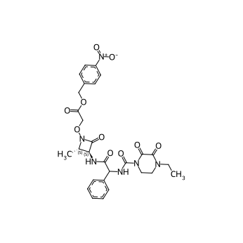 CCN1CCN(C(=O)NC(C(=O)N[C@@H]2C(=O)N(OCC(=O)OCc3ccc([N+](=O)[O-])cc3)[C@H]2C)c2ccccc2)C(=O)C1=O